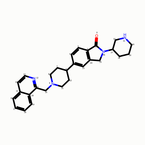 O=C1c2ccc(C3CCN(Cc4nccc5ccccc45)CC3)cc2CN1C1CCCNC1